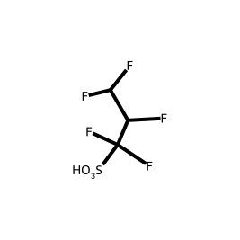 O=S(=O)(O)C(F)(F)C(F)C(F)F